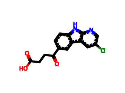 O=C(O)CCC(=O)c1ccc2[nH]c3ncc(Cl)cc3c2c1